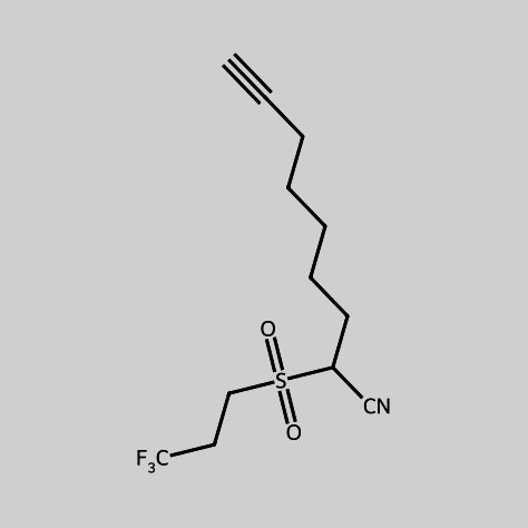 C#CCCCCCC(C#N)S(=O)(=O)CCC(F)(F)F